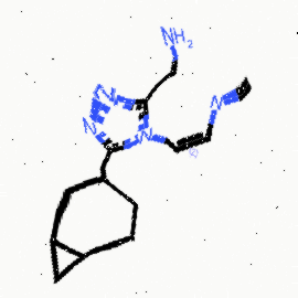 C=N/C=C\n1c(CN)nnc1C1CCC2CC2C1